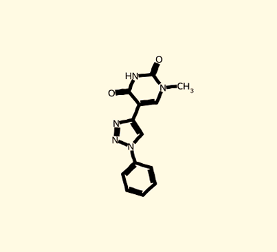 Cn1cc(-c2cn(-c3ccccc3)nn2)c(=O)[nH]c1=O